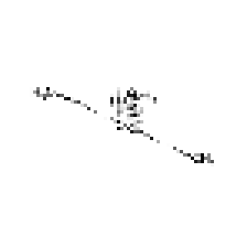 CCCCCCCCCCCCCCCCCCOC(COCCCCCCCCCCCCCCCC)COP(=O)(O)OCC[N+](C)(C)C